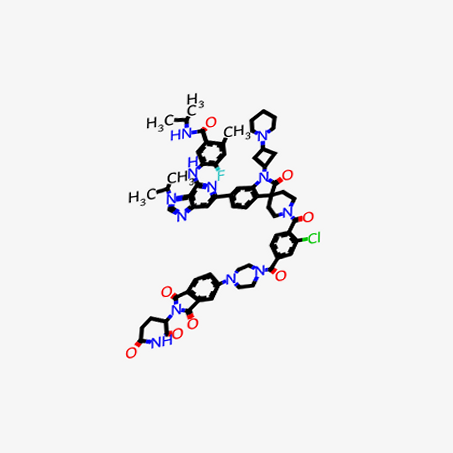 Cc1cc(F)c(Nc2nc(-c3ccc4c(c3)N(C3CC(N5CCCCC5)C3)C(=O)C43CCN(C(=O)c4ccc(C(=O)N5CCN(c6ccc7c(c6)C(=O)N(C6CCC(=O)NC6=O)C7=O)CC5)cc4Cl)CC3)cc3ncn(C(C)C)c23)cc1C(=O)NC(C)C